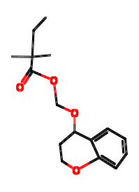 CCC(C)(C)C(=O)OCOC1CCOc2ccccc21